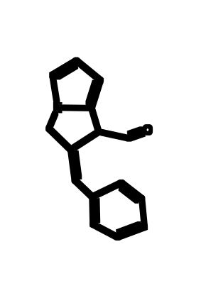 O=CC1/C(=C\c2ccccc2)Cn2cccc21